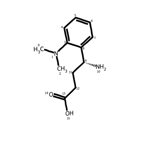 CN(C)c1ccccc1[C@H](N)CCC(=O)O